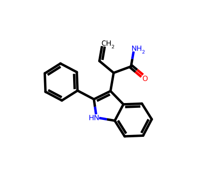 C=CC(C(N)=O)c1c(-c2ccccc2)[nH]c2ccccc12